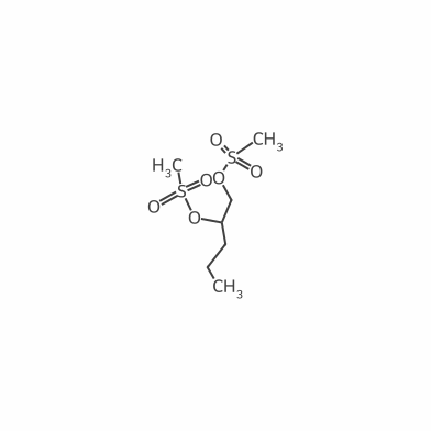 CCCC(COS(C)(=O)=O)OS(C)(=O)=O